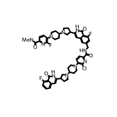 CNC(=O)c1ccc(N2CCC(N3CCC(c4cc5cc(CNC(=O)c6ccc(N7CCC(N8CCC(c9cc%10cccc(F)c%10c(=O)[nH]9)C8)CC7)c(Cl)n6)cc(F)c5c(=O)[nH]4)C3)CC2)c(F)n1